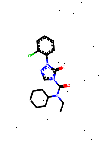 CCN(C(=O)n1cnn(-c2ccccc2Cl)c1=O)C1CCCCC1